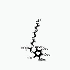 CCCCCCCCCCc1c(CCCCCCCCCC)c(CCCCCCCCCC)c(OC(OCCOCCOCCOCC)C(=O)O)c(CCCCCCCCCC)c1CCCCCCCCCC